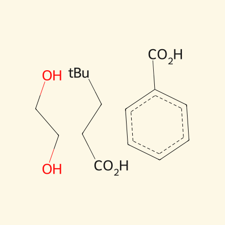 CC(C)(C)CCC(=O)O.O=C(O)c1ccccc1.OCCO